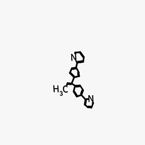 CC=C(c1ccc(-c2ccccn2)cc1)c1ccc(-c2ccccn2)cc1